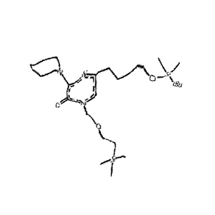 CC(C)(C)[Si](C)(C)OCCCc1cn(COCC[Si](C)(C)C)c(=O)c(N2CCC2)n1